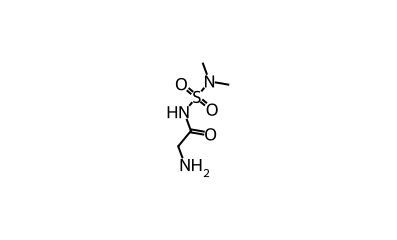 CN(C)S(=O)(=O)NC(=O)CN